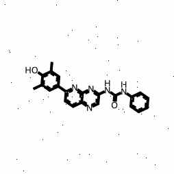 Cc1cc(-c2ccc3ncc(NC(=O)Nc4ccccc4)nc3n2)cc(C)c1O